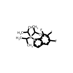 CC(C)[Si](C(C)C)(C(C)C)n1ccc2cc(F)c(I)c(F)c21